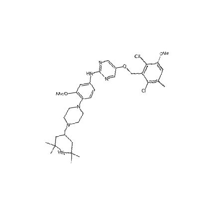 COc1cc(Nc2ncc(OCc3c(Cl)c(C)cc(OC)c3Cl)cn2)ccc1N1CCN(C2CC(C)(C)NC(C)(C)C2)CC1